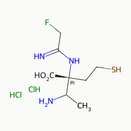 CC(N)[C@@](CCS)(NC(=N)CF)C(=O)O.Cl.Cl